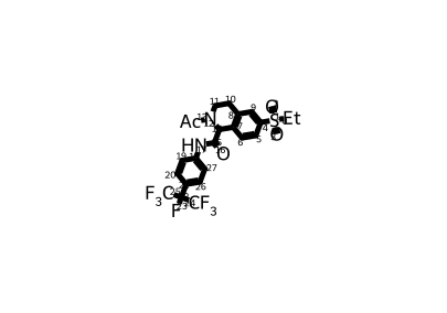 CCS(=O)(=O)c1ccc2c(c1)CCN(C(C)=O)C2C(=O)Nc1ccc(C(F)(C(F)(F)F)C(F)(F)F)cc1